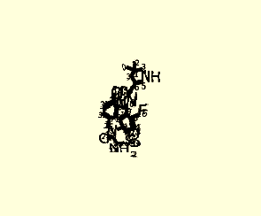 CC1(C)CNCC(c2nc(-c3cc4c(cc3F)S(=O)(=O)C[C@H](N)C(=O)N4Cc3ccc(Cl)cc3)no2)C1